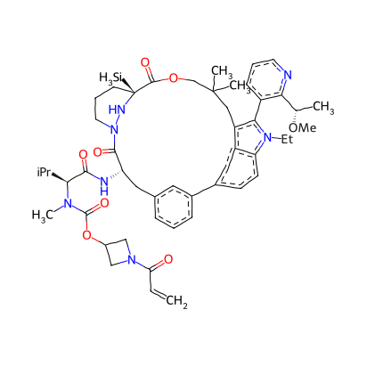 C=CC(=O)N1CC(OC(=O)N(C)[C@H](C(=O)N[C@H]2Cc3cccc(c3)-c3ccc4c(c3)c(c(-c3cccnc3[C@H](C)OC)n4CC)CC(C)(C)COC(=O)[C@@]3([SiH3])CCCN(N3)C2=O)C(C)C)C1